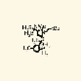 BC(B)(NC)c1cc(OC(B)(B)c2cc(C)ccc2P)n(CCC(C)(C)C)n1